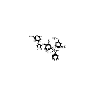 COc1ccc(CN(c2ccncn2)S(=O)(=O)c2cc(F)c(O[C@H]3CCC[C@@H]3c3ccnc(N)c3)cc2F)c(OC)c1